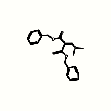 CN(C)C=C(C(=O)OCc1ccccc1)C(=O)OCc1ccccc1